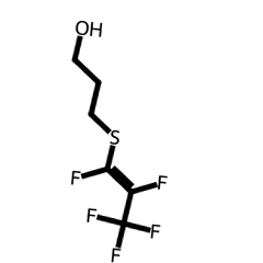 OCCCSC(F)=C(F)C(F)(F)F